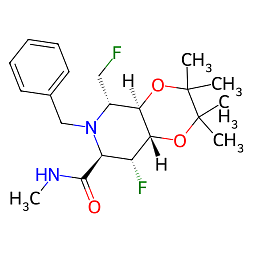 CNC(=O)[C@@H]1[C@@H](F)[C@H]2OC(C)(C)C(C)(C)O[C@@H]2[C@@H](CF)N1Cc1ccccc1